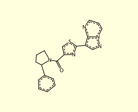 O=C(c1csc(-c2cnn3cccnc23)n1)N1CCCC1c1ccccc1